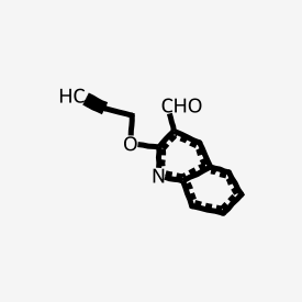 C#CCOc1nc2ccccc2cc1C=O